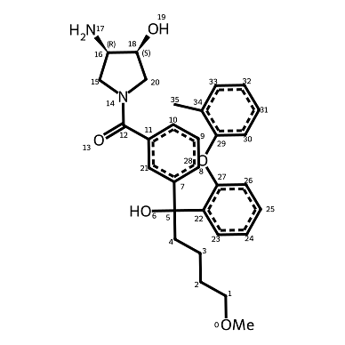 COCCCCC(O)(c1cccc(C(=O)N2C[C@@H](N)[C@@H](O)C2)c1)c1ccccc1Oc1ccccc1C